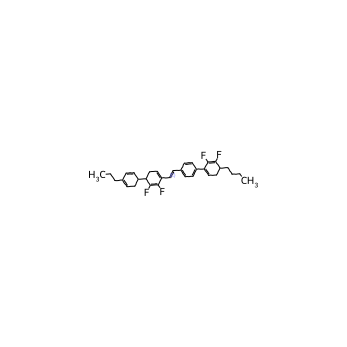 CCCCC1CC=C(c2ccc(/C=C/C3=CCC(C4C=CC(CCC)=CC4)C(F)=C3F)cc2)C(F)=C1F